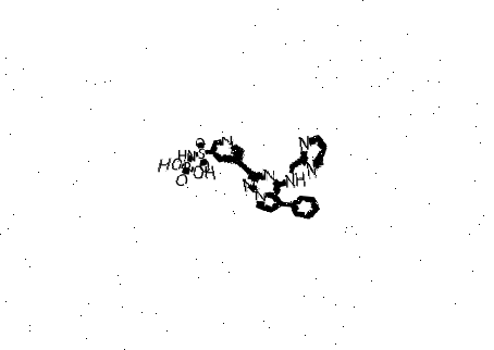 O=P(O)(O)NS(=O)(=O)c1cncc(-c2nc(NCc3ncccn3)c3c(-c4ccccc4)ccn3n2)c1